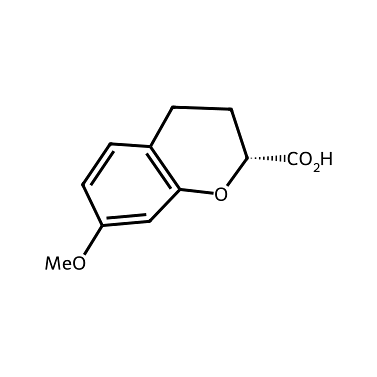 COc1ccc2c(c1)O[C@@H](C(=O)O)CC2